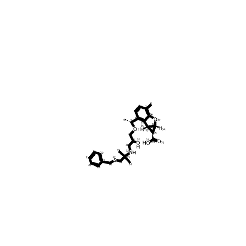 Cc1ccc([C@@H](C)OCC(O)CNC(C)(C)CSCc2ccccc2)c2c1O[C@@H]1[C@@H](C(=O)O)[C@H]21